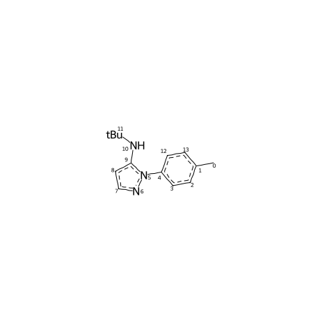 Cc1ccc(-n2nccc2NC(C)(C)C)cc1